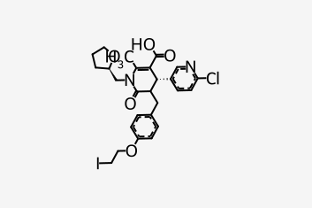 CC1=C(C(=O)O)[C@H](c2ccc(Cl)nc2)C(Cc2ccc(OCCI)cc2)C(=O)N1C[C@H]1CCCO1